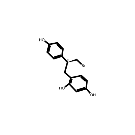 Oc1ccc([C@@H](CBr)Cc2ccc(O)cc2O)cc1